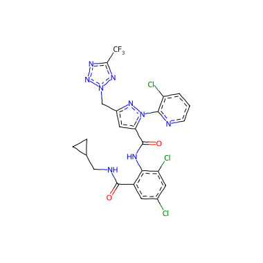 O=C(NCC1CC1)c1cc(Cl)cc(Cl)c1NC(=O)c1cc(Cn2nnc(C(F)(F)F)n2)nn1-c1ncccc1Cl